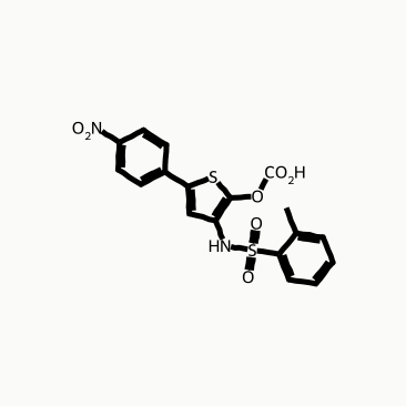 Cc1ccccc1S(=O)(=O)Nc1cc(-c2ccc([N+](=O)[O-])cc2)sc1OC(=O)O